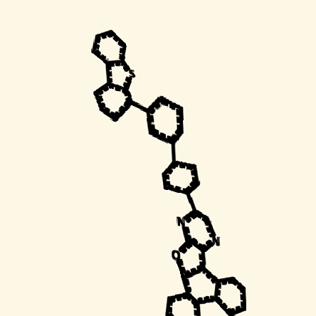 c1cc(-c2ccc(-c3cnc4c(n3)oc3c5ccccc5c5ccccc5c43)cc2)cc(-c2cccc3c2sc2ccccc23)c1